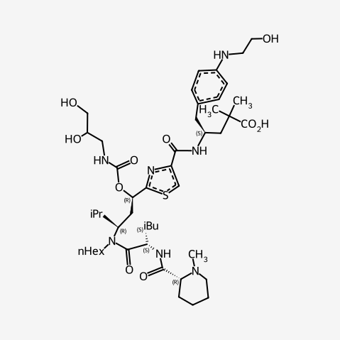 CCCCCCN(C(=O)[C@@H](NC(=O)[C@H]1CCCCN1C)[C@@H](C)CC)[C@H](C[C@@H](OC(=O)NCC(O)CO)c1nc(C(=O)N[C@@H](Cc2ccc(NCCO)cc2)CC(C)(C)C(=O)O)cs1)C(C)C